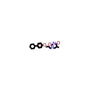 CC1CN2CC(COc3ccc(C4CCCCC4)cc3)OC2=NC1=O